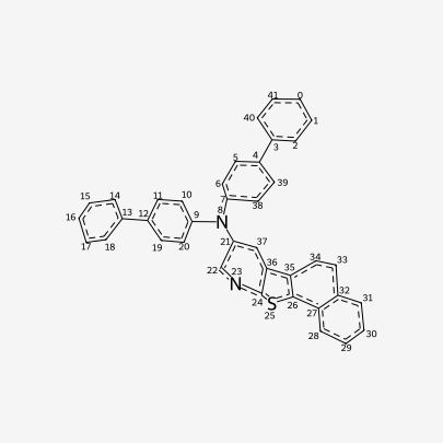 c1ccc(-c2ccc(N(c3ccc(-c4ccccc4)cc3)c3cnc4sc5c6ccccc6ccc5c4c3)cc2)cc1